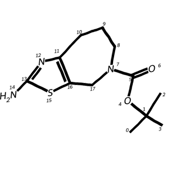 CC(C)(C)OC(=O)N1CCCc2nc(N)sc2C1